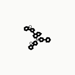 c1ccc(-c2ccc(N(c3ccc4c(c3)oc3ccccc34)c3ccc(-c4ccc5oc6ccccc6c5c4)c4ccccc34)cc2)cc1